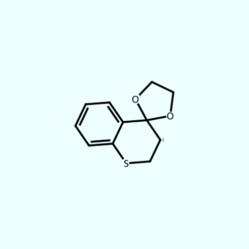 [C]1CSc2ccccc2C12OCCO2